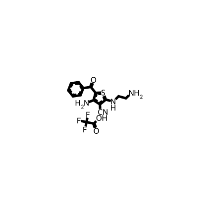 N#Cc1c(NCCN)sc(C(=O)c2ccccc2)c1N.O=C(O)C(F)(F)F